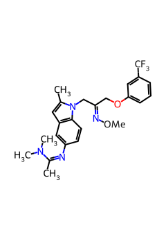 CON=C(COc1cccc(C(F)(F)F)c1)Cn1c(C)cc2cc(N=C(C)N(C)C)ccc21